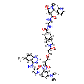 CC(C)N(C)[C@@H]1CC[C@H](N2CC[C@H](Nc3ncnc4ccc(C(F)(F)F)cc34)C2=O)[C@H](NC(=O)CCOCCC(=O)N2CCC3(CCC(C(=O)NCCNC(=O)[C@H]4CC(=O)N(C)[C@@H]4c4cccnc4)CC3)CC2)C1